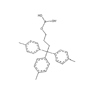 Cc1ccc(C(CCCOB(O)O)(c2ccc(C)cc2)c2ccc(C)cc2)cc1